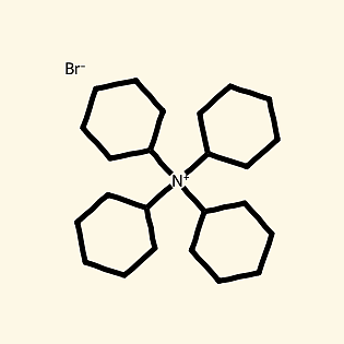 C1CCC([N+](C2CCCCC2)(C2CCCCC2)C2CCCCC2)CC1.[Br-]